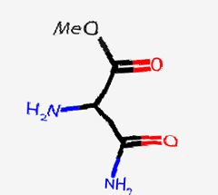 COC(=O)C(N)C(N)=O